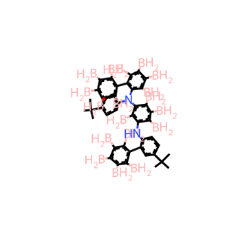 Bc1c(B)c(B)c(-c2cc(C(C)(C)C)ccc2Nc2c(B)c(B)c(B)c(N(c3ccc(C(C)(C)C)cc3)c3c(B)c(B)c(B)c(B)c3-c3c(B)c(B)c(B)c(B)c3B)c2B)c(B)c1B